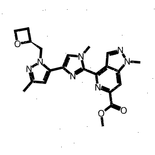 COC(=O)c1cc2c(cnn2C)c(-c2nc(-c3cc(C)nn3C[C@@H]3CCO3)cn2C)n1